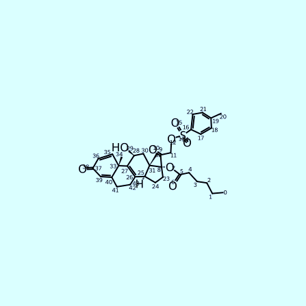 CCCCCC(=O)O[C@]1(C(=O)COS(=O)(=O)c2ccc(C)cc2)CC[C@H]2C3=C([C@@H](O)C[C@@]21C)[C@@]1(C)C=CC(=O)C=C1CC3